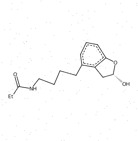 CCC(=O)NCCCCc1cccc2c1C[C@@H](O)O2